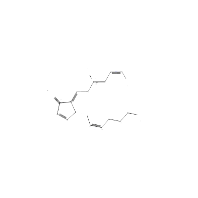 CC/C=C\C[C@H](O)C/C=C1/C(=O)C=C[C@H]1C/C=C\CCCC(=O)O